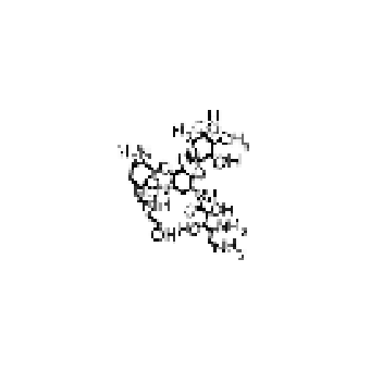 C[C@@H]1C(O)[C@@H](OC2C(O)C(O[C@H]3O[C@H](CNCCO)CCC3N)[C@@H](N)C[C@H]2NC(=O)[C@@H](O)[C@@H](O)[C@@H](N)CN)OCC1(C)O